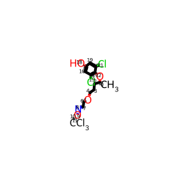 CC(CCCOCC=NOCC(Cl)(Cl)Cl)Oc1c(Cl)cc(O)cc1Cl